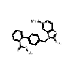 CCCCc1nc2ccc(OC)cc2n1Cc1ccc(-c2ccccc2C(=O)OC(C)(C)C)cc1